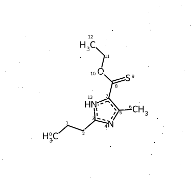 CCCc1nc(C)c(C(=S)OCC)[nH]1